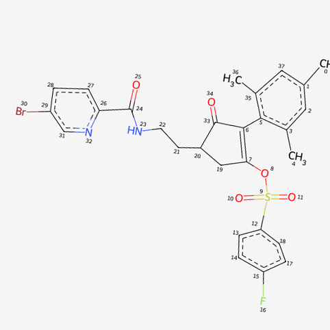 Cc1cc(C)c(C2=C(OS(=O)(=O)c3ccc(F)cc3)CC(CCNC(=O)c3ccc(Br)cn3)C2=O)c(C)c1